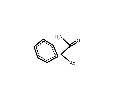 CC(=O)CC(N)=O.c1ccccc1